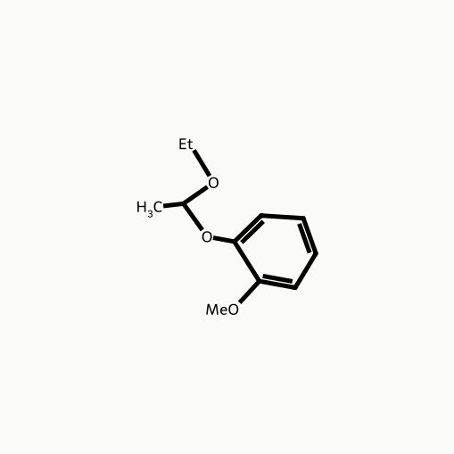 CCOC(C)Oc1ccccc1OC